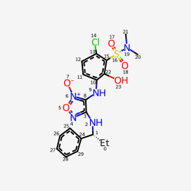 CC[C@@H](Nc1no[n+]([O-])c1Nc1ccc(Cl)c(S(=O)(=O)N(C)C)c1O)c1ccccc1